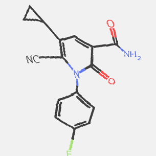 N#Cc1c(C2CC2)cc(C(N)=O)c(=O)n1-c1ccc(F)cc1